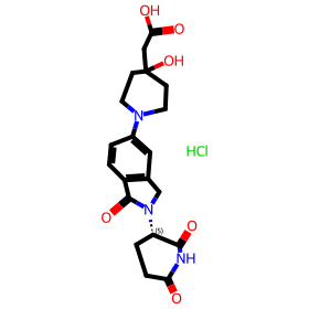 Cl.O=C(O)CC1(O)CCN(c2ccc3c(c2)CN([C@H]2CCC(=O)NC2=O)C3=O)CC1